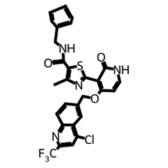 Cc1nc(-c2c(OCc3ccc4nc(C(F)(F)F)cc(Cl)c4c3)cc[nH]c2=O)sc1C(=O)NCc1ccccc1